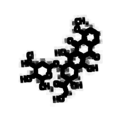 COc1cccc2c1C(=O)c1c(O)c3c(c(O)c1C2=O)C[C@@](O)(C(=O)CO)C[C@@H]3OC1CC(NCl)C(O)C(C)O1